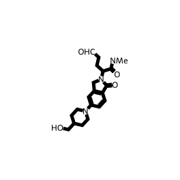 CNC(=O)C(CCC=O)N1Cc2cc(N3CCC(CO)CC3)ccc2C1=O